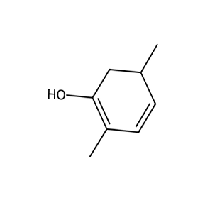 CC1=C(O)CC(C)C=C1